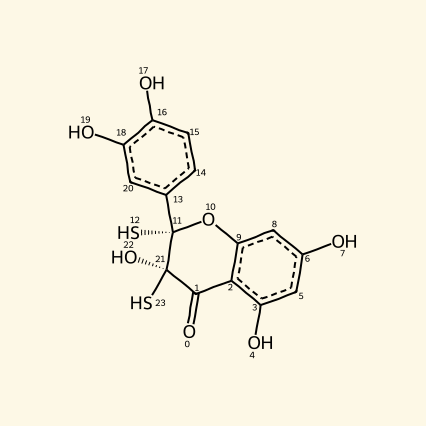 O=C1c2c(O)cc(O)cc2O[C@](S)(c2ccc(O)c(O)c2)[C@]1(O)S